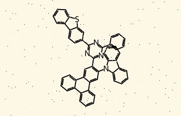 c1ccc(-c2nc(-c3ccc4c(c3)sc3ccccc34)nc(-c3cc4c5ccccc5c5ccccc5c4cc3-n3c4ccccc4c4ccccc43)n2)cc1